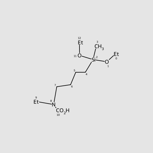 CCO[Si](C)(CCCCN(CC)C(=O)O)OCC